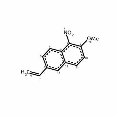 C=Cc1ccc2c([N+](=O)[O-])c(OC)ccc2c1